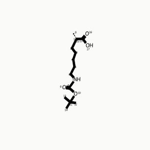 C[C@@H](CCCCCNC(=O)OC(C)(C)C)C(=O)O